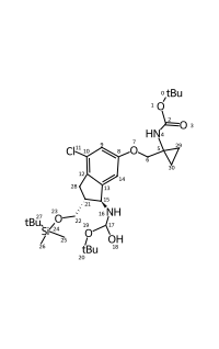 CC(C)(C)OC(=O)NC1(COc2cc(Cl)c3c(c2)[C@@H](NC(O)OC(C)(C)C)[C@H](CO[Si](C)(C)C(C)(C)C)C3)CC1